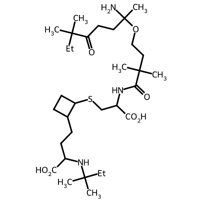 CCC(C)(C)NC(CCC1CCC1SCC(NC(=O)C(C)(C)CCOC(C)(N)CCC(=O)C(C)(C)CC)C(=O)O)C(=O)O